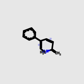 C=C(N)/C=C\C(=C/C)c1ccccc1